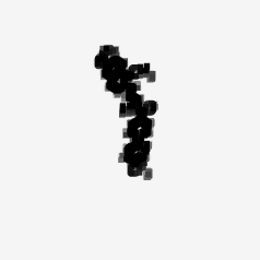 CC(C)Oc1ccc2c(c1)CCN(CCCNC(=O)C1CCN(c3ccc(C(F)(F)F)cn3)CC1)C2C